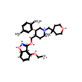 Cc1ccc(S(=O)(=O)O)cc1.O=C(O)C1(CN2CCC(COc3noc4cccc(OCC(F)(F)F)c34)CC2)CCOCC1